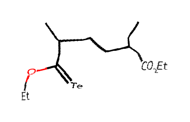 CCOC(=O)C(C)CCC(C)C(=[Te])OCC